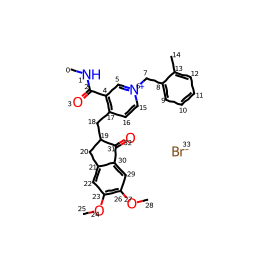 CNC(=O)c1c[n+](Cc2ccccc2C)ccc1CC1Cc2cc(OC)c(OC)cc2C1=O.[Br-]